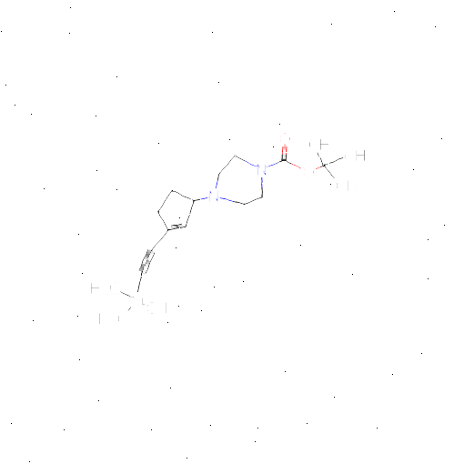 CC(C)(C)OC(=O)N1CCN(C2C=C(C#C[Si](C)(C)C)CC2)CC1